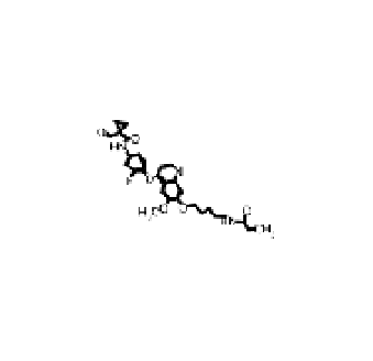 CCC(=O)NCCCCCOc1cc2nccc(Oc3ccc(NC(=O)C4(C=O)CC4)cc3F)c2cc1OC